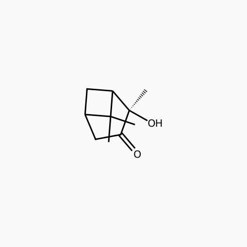 CC1(C)C2CC(=O)[C@](C)(O)C1C2